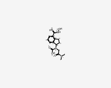 CN(C)C(=O)CN(C(=O)O)C1CCc2c(C(=N)NO)cccc21